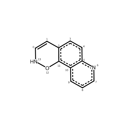 C1=Cc2ccc3ncccc3c2ON1